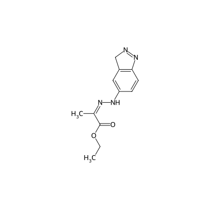 CCOC(=O)C(C)=NNc1ccc2c(c1)CN=N2